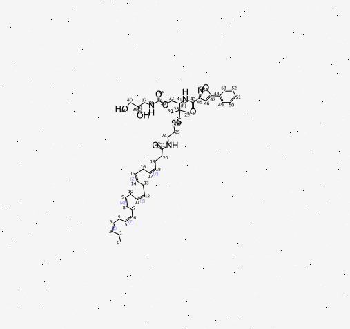 CC/C=C\C/C=C\C/C=C\C/C=C\C/C=C\C/C=C\CCC(=O)NCCSSC(C)(C)[C@@H](COC(=O)NC[C@@H](O)CO)NC(=O)c1cc(-c2ccccc2)on1